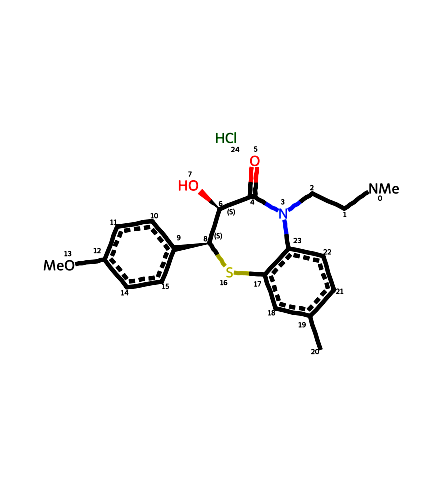 CNCCN1C(=O)[C@H](O)[C@H](c2ccc(OC)cc2)Sc2cc(C)ccc21.Cl